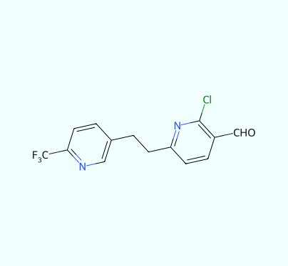 O=Cc1ccc(CCc2ccc(C(F)(F)F)nc2)nc1Cl